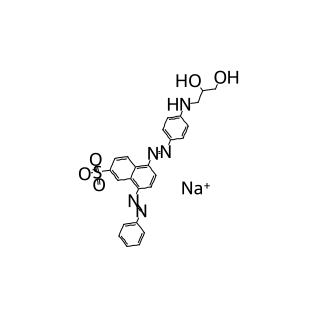 O=S(=O)([O-])c1ccc2c(N=Nc3ccc(NCC(O)CO)cc3)ccc(N=Nc3ccccc3)c2c1.[Na+]